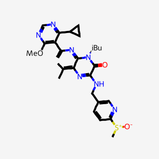 C=C(/N=C1\C(=C(C)C)N=C(NCc2ccc([S+](C)[O-])nc2)C(=O)N1[C@@H](C)CC)c1c(OC)ncnc1C1CC1